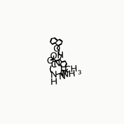 Cc1[nH]nc2c1-c1cccc3c(CCCOc4cccc5ccccc45)c(C(=O)O)n(c13)CCCCNC2